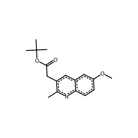 COc1ccc2nc(C)c(CC(=O)OC(C)(C)C)cc2c1